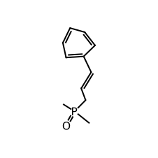 CP(C)(=O)C/C=C/c1ccccc1